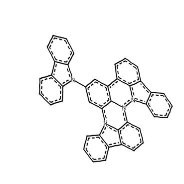 c1ccc2c(c1)c1ccccc1n2-c1cc2c3c(c1)n1c4ccccc4c4cccc(c41)n-3n1c3ccccc3c3cccc2c31